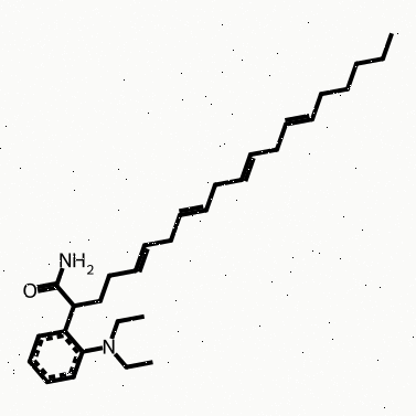 CCCCCC=CCC=CCC=CCC=CCCC(C(N)=O)c1ccccc1N(CC)CC